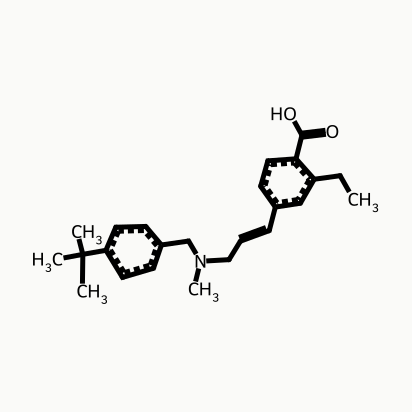 CCc1cc(C=CCN(C)Cc2ccc(C(C)(C)C)cc2)ccc1C(=O)O